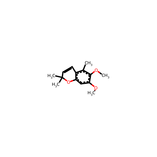 COc1cc2c(c(C)c1OC)C=CC(C)(C)O2